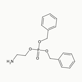 NCCOP(=O)(OCc1ccccc1)OCc1ccccc1